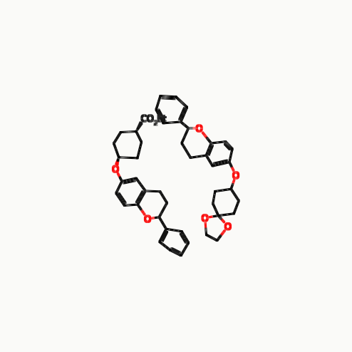 CCOC(=O)[C@H]1CC[C@@H](Oc2ccc3c(c2)CCC(c2ccccc2)O3)CC1.c1ccc(C2CCc3cc(OC4CCC5(CC4)OCCO5)ccc3O2)cc1